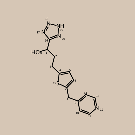 OC(CCc1ccc(Cc2ccncc2)s1)c1nn[nH]n1